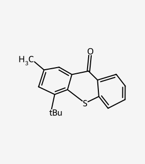 Cc1cc(C(C)(C)C)c2sc3ccccc3c(=O)c2c1